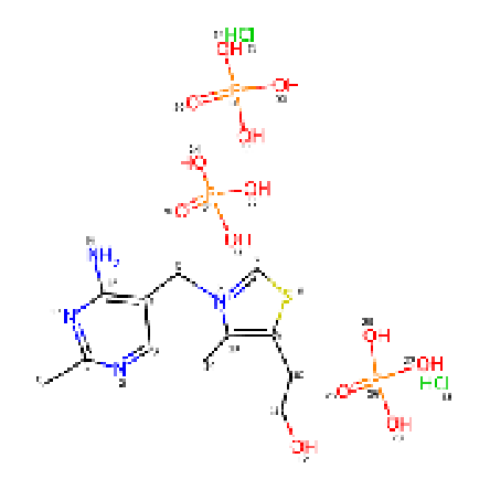 Cc1ncc(C[n+]2csc(CCO)c2C)c(N)n1.Cl.Cl.O=P(O)(O)O.O=P(O)(O)O.O=P(O)(O)O